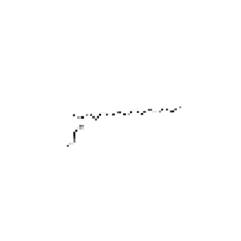 CCCCCCCCCCCOCC(C)OCCC